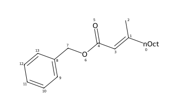 CCCCCCCC/C(C)=C/C(=O)OCc1ccccc1